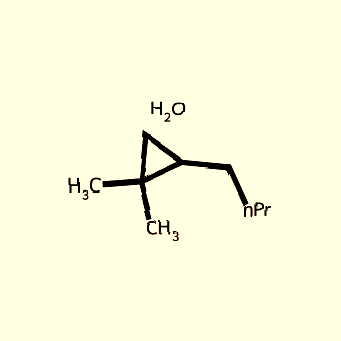 CCCCC1CC1(C)C.O